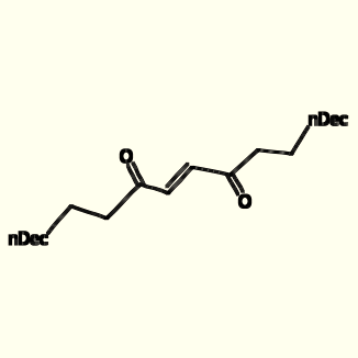 CCCCCCCCCCCCC(=O)C=CC(=O)CCCCCCCCCCCC